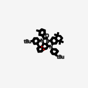 CC1=CC2=C3B(c4cc5c(cc4N2c2ccc(C(C)(C)C)cc2)C(C)(C)CCC5(C)C)c2oc4ccc(C)cc4c2N(c2ccc(C(C)(C)C)cc2-c2ccccc2)C3C1